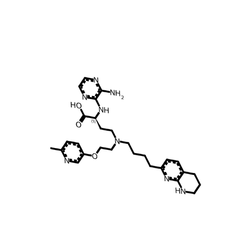 Cc1ccc(OCCN(CCCCc2ccc3c(n2)NCCC3)CC[C@H](Nc2nccnc2N)C(=O)O)cn1